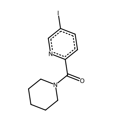 O=C(c1ccc(I)cn1)N1CCCCC1